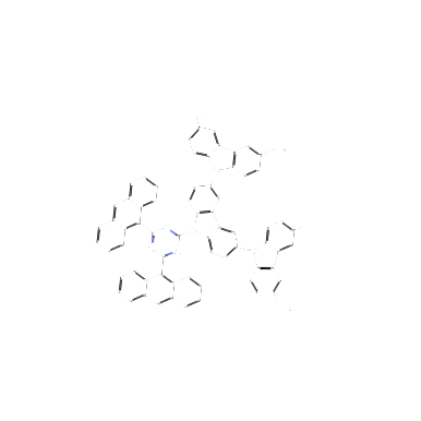 CC(C)(C)c1ccc2c(c1)c1cc(C(C)(C)C)ccc1n2-c1ccc2c(c1)c1cc(-n3c4ccc(C(C)(C)C)cc4c4cc(C(C)(C)C)ccc43)ccc1n2-c1nc(-c2c3ccccc3cc3ccccc23)nc(-c2c3ccccc3cc3ccccc23)n1